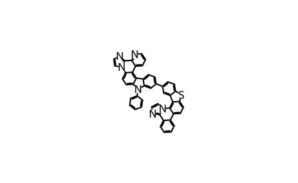 c1ccc(-n2c3cc(-c4ccc5sc6ccc7c8ccccc8c8nccn8c7c6c5c4)ccc3c3c4c5cccnc5c5nccn5c4ccc32)cc1